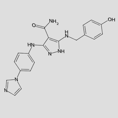 NC(=O)c1c(Nc2ccc(-n3ccnc3)cc2)n[nH]c1NCc1ccc(O)cc1